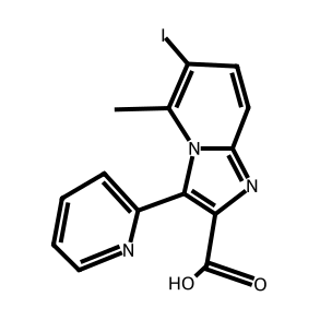 Cc1c(I)ccc2nc(C(=O)O)c(-c3ccccn3)n12